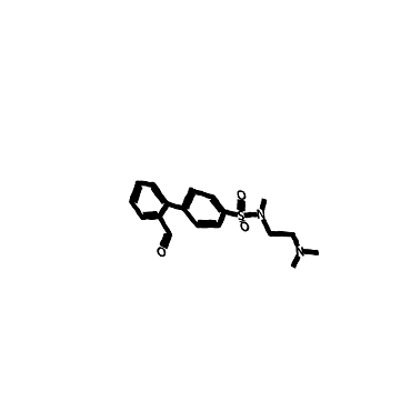 CN(C)CCN(C)S(=O)(=O)c1ccc(-c2ccccc2C=O)cc1